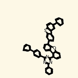 c1ccc(-c2ccc(-c3nc(-c4ccccc4)nc(-c4cccc5oc6c(-c7ccc8c(c7)sc7ccc(-c9ccccc9)cc78)cccc6c45)n3)cc2)cc1